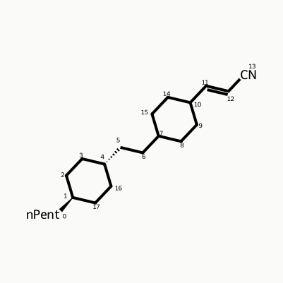 CCCCC[C@H]1CC[C@H](CCC2CCC(C=CC#N)CC2)CC1